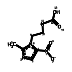 Cc1ncc([N+](=O)[O-])n1CC[N]C(=O)O